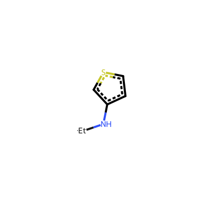 C[CH]Nc1ccsc1